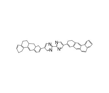 C1=CC2=C(CC1)C1=CC3=CC=C(c4cnc(-c5ncc(C6=Cc7cc8ccc9ccccc9c8cc7CC6)cn5)nc4)CC3CC1CC2